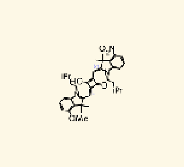 COc1cccc2c1C(C)(C)C(/C=C1/C(=O)C(/C=C3\N(CCC(C)C)c4cccc([N+](=O)[O-])c4C3(C)C)=C1O)=[N+]2CCC(C)C